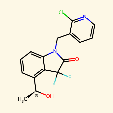 C[C@H](O)c1cccc2c1C(F)(F)C(=O)N2Cc1cccnc1Cl